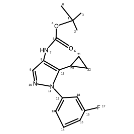 CC(C)(C)OC(=O)Nc1cnn(-c2cccc(F)c2)c1C1CC1